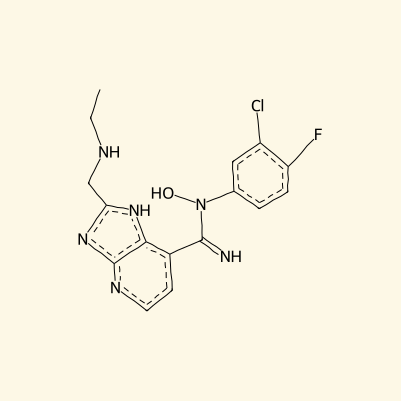 CCNCc1nc2nccc(C(=N)N(O)c3ccc(F)c(Cl)c3)c2[nH]1